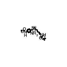 COC(=O)Nc1ccc(-c2nnc(CCC=CNC(=O)OC(C)(C)C)o2)c(N)c1